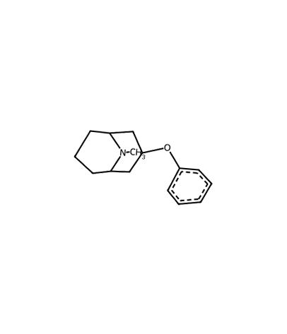 CN1C2CCCC1CC(Oc1ccccc1)C2